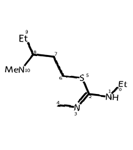 CCNC(=NC)SCCC(CC)NC